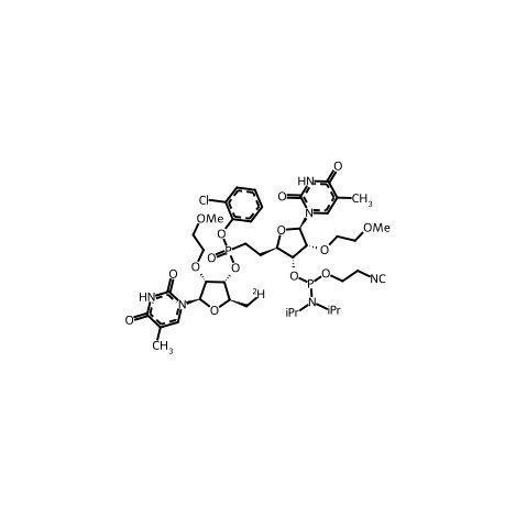 [2H]C[C@H]1O[C@@H](n2cc(C)c(=O)[nH]c2=O)[C@H](OCCOC)[C@@H]1OP(=O)(CC[C@H]1O[C@@H](n2cc(C)c(=O)[nH]c2=O)[C@H](OCCOC)[C@@H]1OP(OCC[N+]#[C-])N(C(C)C)C(C)C)Oc1ccccc1Cl